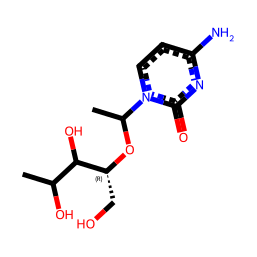 CC(O)C(O)[C@@H](CO)OC(C)n1ccc(N)nc1=O